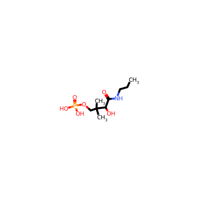 CCCNC(=O)C(O)C(C)(C)COP(=O)(O)O